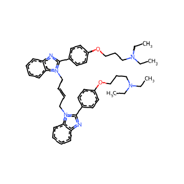 CCN(CC)CCCOc1ccc(-c2nc3ccccc3n2CC=CCn2c(-c3ccc(OCCCN(CC)CC)cc3)nc3ccccc32)cc1